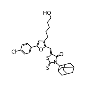 O=C1/C(=C/c2oc(-c3ccc(Cl)cc3)cc2CCCCCO)SC(=S)N1C1C2CC3CC(C2)CC1C3